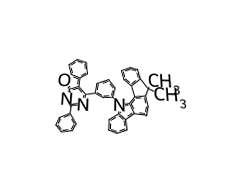 CC1(C)c2ccccc2-c2c1ccc1c3ccccc3n(-c3cccc(-c4nc(-c5ccccc5)nc5oc6ccccc6c45)c3)c21